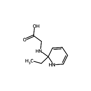 CCC1(NCC(=O)O)C=CC=CN1